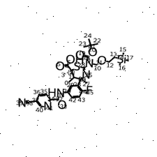 CC1[C@@](C)(C(=O)O)SC(N(COCC[Si](C)(C)C)C(=O)OC(C)(C)C)=N[C@]1(C)c1cc(NC(=O)c2ccc(C#N)cn2)ccc1F